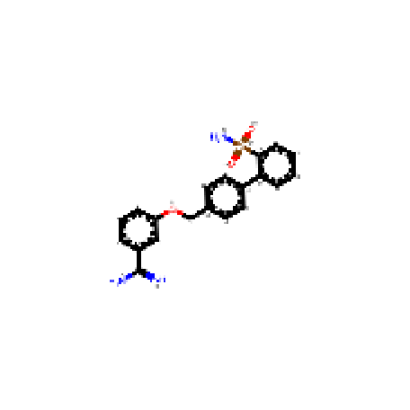 N=C(N)c1cccc(OCc2ccc(-c3ccccc3S(N)(=O)=O)cc2)c1